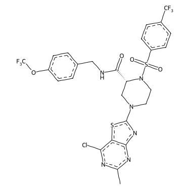 Cc1nc(Cl)c2sc(N3CCN(S(=O)(=O)c4ccc(C(F)(F)F)cc4)[C@@H](C(=O)NCc4ccc(OC(F)(F)F)cc4)C3)nc2n1